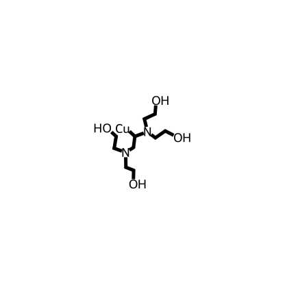 OCCN(CCO)C[CH]([Cu])N(CCO)CCO